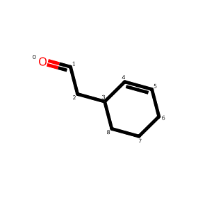 O=CCC1C=CCCC1